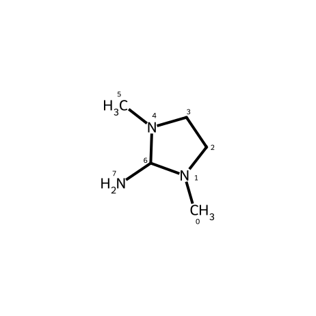 CN1CCN(C)C1N